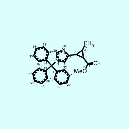 COC(=O)C1C(C)C1c1cn(C(c2ccccc2)(c2ccccc2)c2ccccc2)cn1